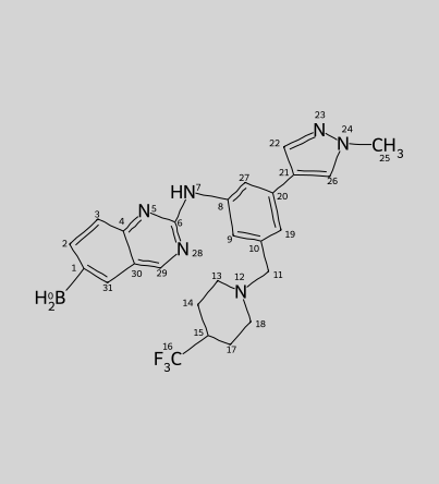 Bc1ccc2nc(Nc3cc(CN4CCC(C(F)(F)F)CC4)cc(-c4cnn(C)c4)c3)ncc2c1